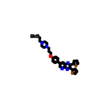 COCCN1CCN(CCCOc2ccc(-c3cnc4nc(-c5cccs5)c(-c5cccs5)nc4c3)cc2)CC1